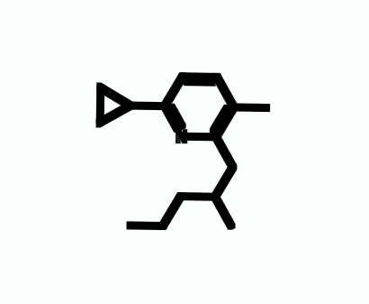 CCCC(C)Cc1nc(C2CC2)ccc1C